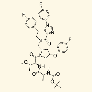 CO[C@H](C)[C@H](NC(=O)[C@H](C)N(C)C(=O)OC(C)(C)C)C(=O)N1C[C@@H](Oc2ccc(F)cc2)C[C@H]1CN(CCc1ccc(F)cc1)C(=O)c1cn(-c2ccc(F)cc2)cn1